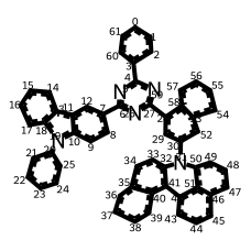 c1ccc(-c2nc(-c3ccc4c(c3)c3ccccc3n4-c3ccccc3)nc(-c3cc(N4c5ccc6ccccc6c5-c5cccc6cccc4c56)cc4ccccc34)n2)cc1